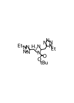 CCn1nnc(CCN(C(=O)OC(C)(C)C)C(N)Cc2nnnn2CC)n1